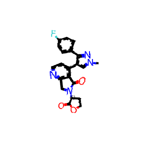 Cn1cc(-c2ccnc3c2C(=O)N([C@H]2CCOC2=O)C3)c(-c2ccc(F)cc2)n1